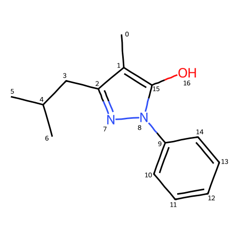 Cc1c(CC(C)C)nn(-c2ccccc2)c1O